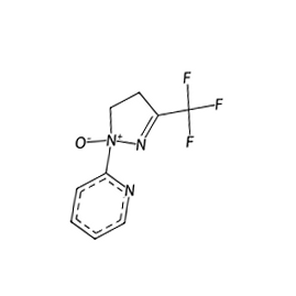 [O-][N+]1(c2ccccn2)CCC(C(F)(F)F)=N1